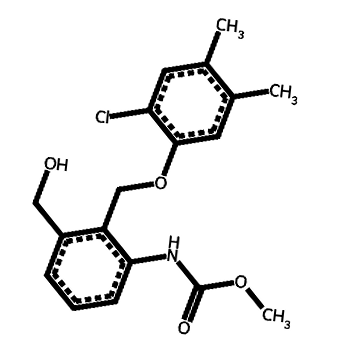 COC(=O)Nc1cccc(CO)c1COc1cc(C)c(C)cc1Cl